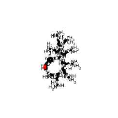 CC(C)C(=O)CNC(=O)C(CCCNC(=N)N)NC(=O)C(CCCNC(=N)N)NC(=O)C(CCCNC(=N)N)NC(=O)C1CSc2c(F)c(F)c(c(F)c2F)-c2c(F)c(F)c(c(F)c2F)SCC(NS)C(=O)NC(CCCNC(=N)N)C(=O)NC(CCCNC(=N)N)C(=O)NC(CCCNC(=N)N)C(=O)N1